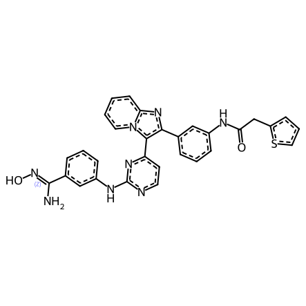 N/C(=N\O)c1cccc(Nc2nccc(-c3c(-c4cccc(NC(=O)Cc5cccs5)c4)nc4ccccn34)n2)c1